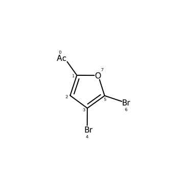 CC(=O)c1cc(Br)c(Br)o1